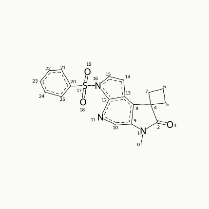 CN1C(=O)C2(CCC2)c2c1cnc1c2ccn1S(=O)(=O)c1ccccc1